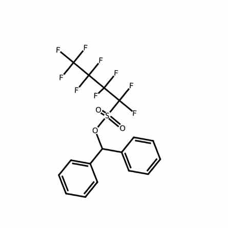 O=S(=O)(OC(c1ccccc1)c1ccccc1)C(F)(F)C(F)(F)C(F)(F)C(F)(F)F